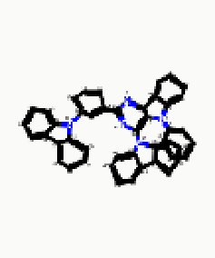 c1ccc(-n2c3ccccc3c3nc(-c4cccc(-n5c6ccccc6c6ccccc65)c4)nc(-n4c5ccccc5c5ccccc54)c32)cc1